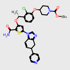 C[C@@H](Oc1cc(-n2cnc3c2C=CC(c2ccncc2)C3)sc1C(N)=O)c1cccc(OC2CCN(C(=O)OC(C)(C)C)CC2)c1Cl